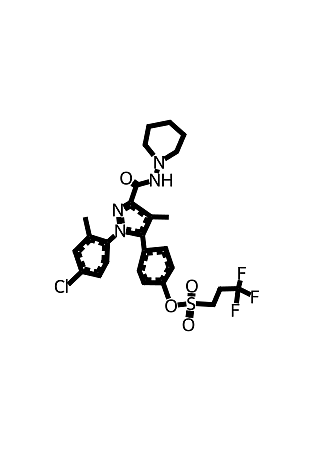 Cc1cc(Cl)ccc1-n1nc(C(=O)NN2CCCCC2)c(C)c1-c1ccc(OS(=O)(=O)CCC(F)(F)F)cc1